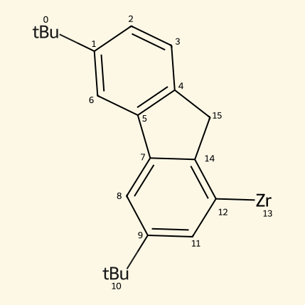 CC(C)(C)c1ccc2c(c1)-c1cc(C(C)(C)C)c[c]([Zr])c1C2